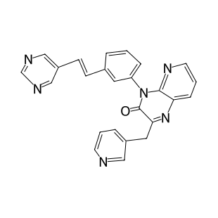 O=c1c(Cc2cccnc2)nc2cccnc2n1-c1cccc(C=Cc2cncnc2)c1